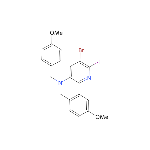 COc1ccc(CN(Cc2ccc(OC)cc2)c2cnc(I)c(Br)c2)cc1